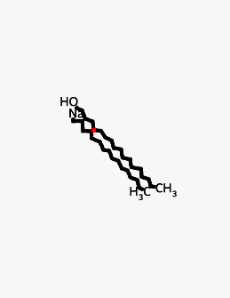 CCCCCCCCCCCCCCCCCCO.CCCCCCCCCCCCCCC[CH2][Na]